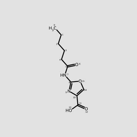 CCCCCC(=O)Nc1nc(C(=O)O)co1